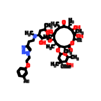 CC[C@H]1OC(=O)[C@H](C)[C@@H](O[C@H]2C[C@@](C)(OC)[C@@H](O)[C@H](C)O2)[C@H](C)[C@@H](O[C@@H]2O[C@H](C)C[C@H](N(C)CCc3cn(CCOc4cccc(C(C)=O)c4)nn3)[C@H]2O)[C@](C)(O)C[C@@H](C)C(=O)[C@H](C)[C@@H](O)[C@]1(C)O